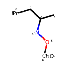 CC(C)CC(C)[N]O[C]=O